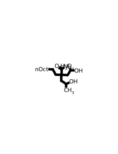 CCCCCCCCCCC(CC(C)O)(CC(C)O)C(N)=O